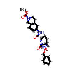 CC(C)(C)OC(=O)N1CCc2cc(NC(=O)[C@@H]3CC[C@@H]4CN3C(=O)N4OCc3ccccc3)ccc2C1